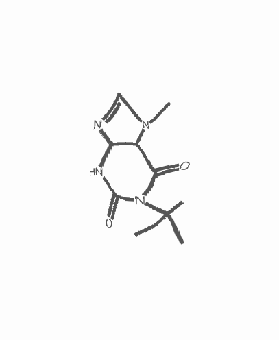 CN1C=NC2NC(=O)N(C(C)(C)C)C(=O)C21